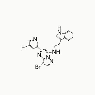 Fc1cncc(-c2cc(NCCc3c[nH]c4ccccc34)n3ncc(Br)c3n2)c1